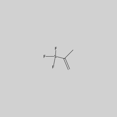 C=C(C)S(F)(F)F